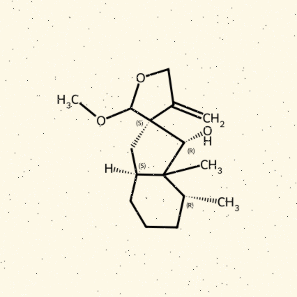 C=C1COC(OC)[C@@]12C[C@@H]1CCC[C@@H](C)C1(C)[C@H]2O